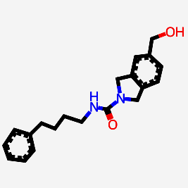 O=C(NCCCCc1ccccc1)N1Cc2ccc(CO)cc2C1